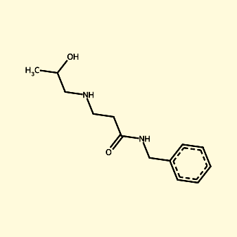 CC(O)CNCCC(=O)NCc1ccccc1